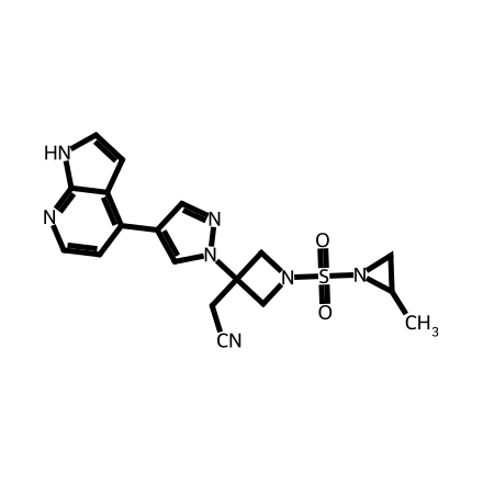 CC1CN1S(=O)(=O)N1CC(CC#N)(n2cc(-c3ccnc4[nH]ccc34)cn2)C1